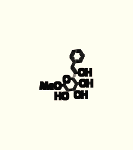 CO[C@H]1O[C@H](C(O)=Cc2ccccc2)[C@@H](O)[C@H](O)[C@@H]1O